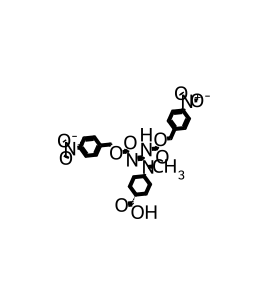 CN(/C(=N/C(=O)OCc1ccc([N+](=O)[O-])cc1)NC(=O)OCc1ccc([N+](=O)[O-])cc1)[C@H]1CC[C@H](C(=O)O)CC1